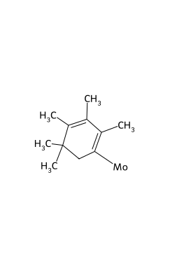 CC1=[C]([Mo])CC(C)(C)C(C)=C1C